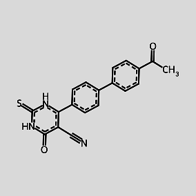 CC(=O)c1ccc(-c2ccc(-c3[nH]c(=S)[nH]c(=O)c3C#N)cc2)cc1